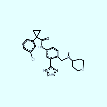 CN(Cc1ccc(NC(=O)C2(c3cccc(Cl)c3)CC2)cc1-c1nnn[nH]1)C1CCOCC1